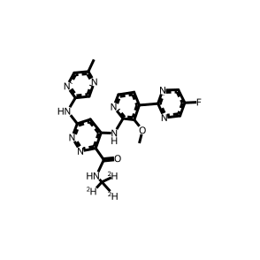 [2H]C([2H])([2H])NC(=O)c1nnc(Nc2cnc(C)cn2)cc1Nc1nccc(-c2ncc(F)cn2)c1OC